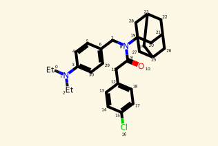 CCN(CC)c1ccc(CN(C(=O)Cc2ccc(Cl)cc2)C23CC4CC(CC(C4)C2)C3)cc1